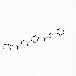 Cc1ncccc1N1CC(C(=O)Nc2ccc(C3CCN(C(=O)CC4C[C@@H]5CCC4C5)CC3)cc2)C1